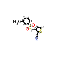 Cc1cccc(S(=O)(=O)Cc2ccsc2C#N)c1